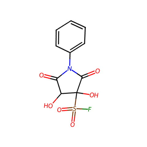 O=C1C(O)C(O)(S(=O)(=O)F)C(=O)N1c1ccccc1